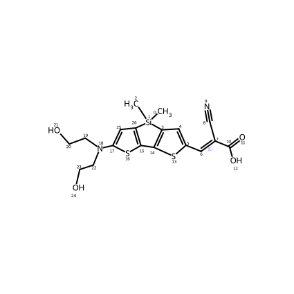 C[Si]1(C)c2cc(/C=C(\C#N)C(=O)O)sc2-c2sc(N(CCO)CCO)cc21